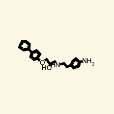 Nc1ccc(CCNC[C@H](O)COc2ccc(-c3ccccc3)cc2)cc1